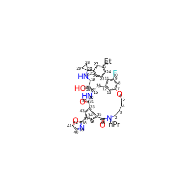 CCCN1CCCCOc2cc(F)cc(c2)C[C@@H]([C@H](O)CNC2(c3cccc(CC)c3)CC2)NC(=O)c2cc(cc(-c3ncco3)c2)C1=O